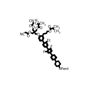 C=C(C)C(=O)OCCCc1cc(-c2ccc(-c3c(F)cc(-c4ccc(C5CCC(CCCCC)CC5)cc4)cc3F)cc2CC)ccc1OCC(COC(=O)CC#N)(COC(=O)CC#N)COC(=O)C(=C)C